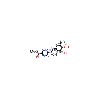 COC(=O)c1cnc(/C(C#N)=C/c2cc(O)c(O)c([N+](=O)[O-])c2)cn1